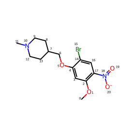 COc1cc(OCC2CCN(C)CC2)c(Br)cc1[N+](=O)[O-]